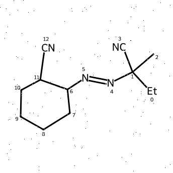 CCC(C)(C#N)N=NC1CCCCC1C#N